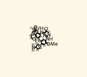 CCc1cc(Nc2ncc(Cl)c(Nc3ccc4c(c3N(C)S(C)(=O)=O)OCCO4)n2)c(OC)cc1N1CCC(N(C)C)C1